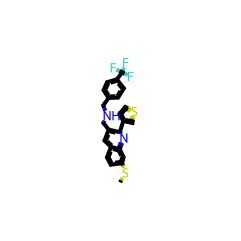 CSc1ccc2cc(CNCc3ccc(C(F)(F)F)cc3)c(-c3ccsc3)nc2c1